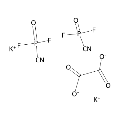 N#CP(=O)(F)F.N#CP(=O)(F)F.O=C([O-])C(=O)[O-].[K+].[K+]